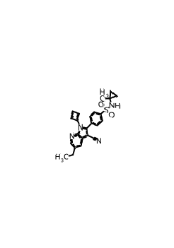 CCc1cnc2c(c1)c(C#N)c(-c1ccc(S(=O)(=O)NC3(C)CC3)cc1)n2C1=CC=C1